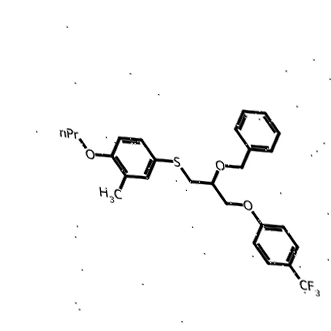 CCCOc1ccc(SCC(COc2ccc(C(F)(F)F)cc2)OCc2ccccc2)cc1C